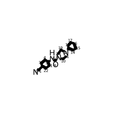 N#Cc1ccc(NC(=O)N2CCN(c3ccccc3)CC2)cc1